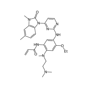 C=CC(=O)Nc1cc(Nc2nccc(-n3c(=O)n(C)c4cc(C)ccc43)n2)c(OCC)cc1N(C)CCN(C)C